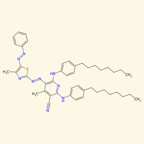 CCCCCCCCc1ccc(Nc2nc(Nc3ccc(CCCCCCCC)cc3)c(N=Nc3nc(C)c(N=Nc4ccccc4)s3)c(C)c2C#N)cc1